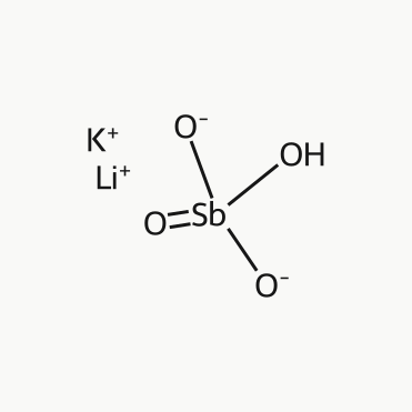 [K+].[Li+].[O]=[Sb]([O-])([O-])[OH]